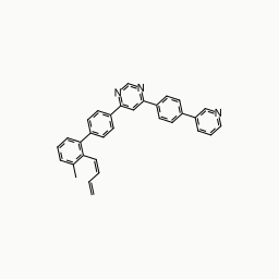 C=C/C=C\c1c(C)cccc1-c1ccc(-c2cc(-c3ccc(-c4cccnc4)cc3)ncn2)cc1